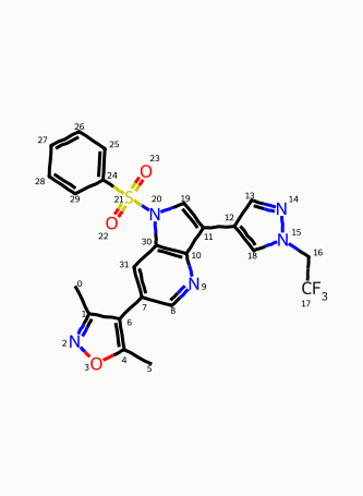 Cc1noc(C)c1-c1cnc2c(-c3cnn(CC(F)(F)F)c3)cn(S(=O)(=O)c3ccccc3)c2c1